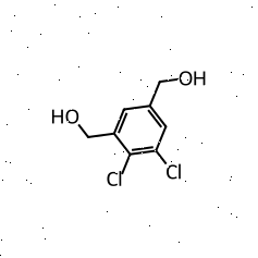 OCc1cc(Cl)c(Cl)c(CO)c1